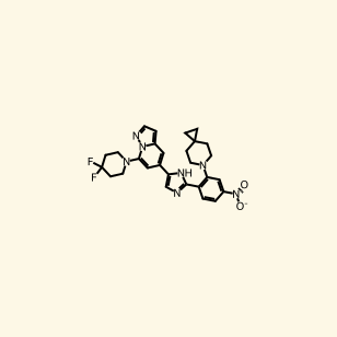 O=[N+]([O-])c1ccc(-c2ncc(-c3cc(N4CCC(F)(F)CC4)n4nccc4c3)[nH]2)c(N2CCC3(CC2)CC3)c1